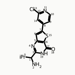 CC(C)C(N)c1nc2cc(-c3ccnc(Cl)c3)sc2c(=O)[nH]1